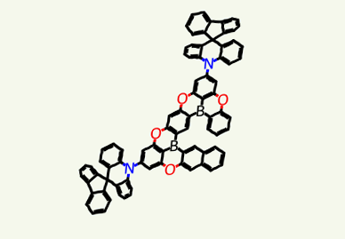 c1ccc2c(c1)Oc1cc(N3c4ccccc4C4(c5ccccc5-c5ccccc54)c4ccccc43)cc3c1B2c1cc2c(cc1O3)Oc1cc(N3c4ccccc4C4(c5ccccc5-c5ccccc54)c4ccccc43)cc3c1B2c1cc2ccccc2cc1O3